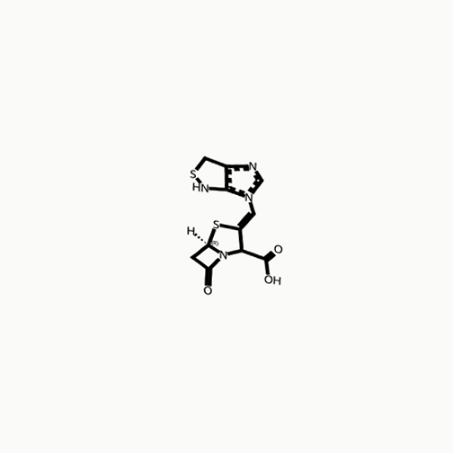 O=C(O)C1C(=Cn2cnc3c2NSC3)S[C@@H]2CC(=O)N12